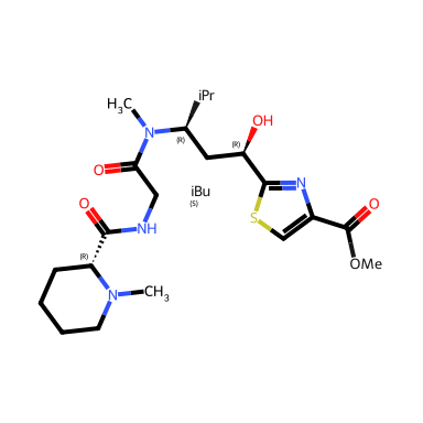 CC[C@H](C)C(NC(=O)[C@H]1CCCCN1C)C(=O)N(C)[C@H](C[C@@H](O)c1nc(C(=O)OC)cs1)C(C)C